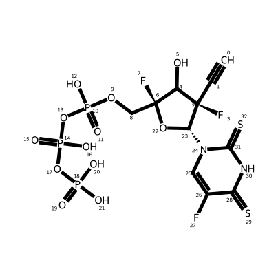 C#C[C@@]1(F)C(O)[C@@](F)(COP(=O)(O)OP(=O)(O)OP(=O)(O)O)O[C@H]1n1cc(F)c(=S)[nH]c1=S